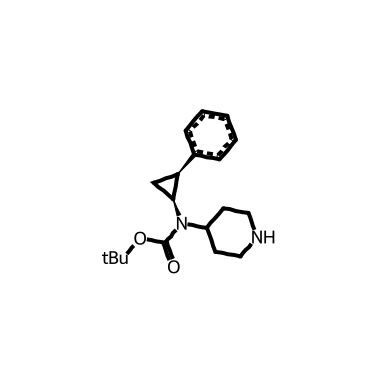 CC(C)(C)OC(=O)N(C1CCNCC1)[C@H]1C[C@H]1c1ccccc1